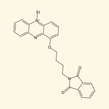 CC[n+]1c2ccccc2nc2c(OCCCCN3C(=O)c4ccccc4C3=O)cccc21